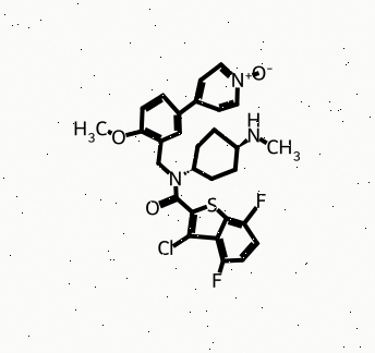 CN[C@H]1CC[C@H](N(Cc2cc(-c3cc[n+]([O-])cc3)ccc2OC)C(=O)c2sc3c(F)ccc(F)c3c2Cl)CC1